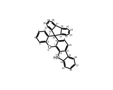 c1ccc2c(c1)Oc1c(ccc3c1[nH]c1ccccc13)C21c2ccccc2-c2ccccc21